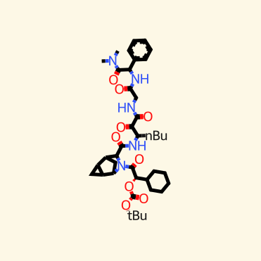 CCCCC(NC(=O)C1C2CC(C3CC32)N1C(=O)[C@H](OC(=O)OC(C)(C)C)C1CCCCC1)C(=O)C(=O)NCC(=O)NC(C(=O)N(C)C)c1ccccc1